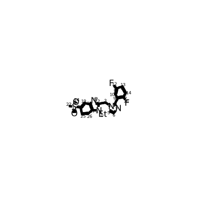 CCn1c(Cn2ccnc2-c2cc(F)ccc2F)nc2cc(S(C)(=O)=O)ccc21